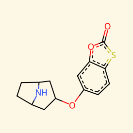 O=c1oc2cc(OC3CC4CCC(C3)N4)ccc2s1